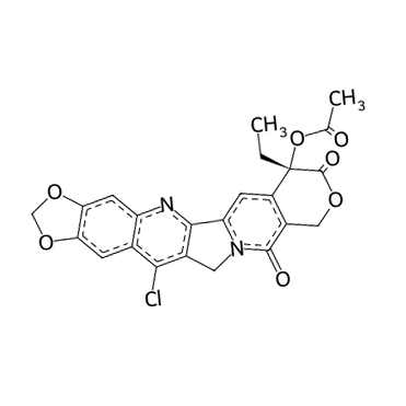 CC[C@@]1(OC(C)=O)C(=O)OCc2c1cc1n(c2=O)Cc2c-1nc1cc3c(cc1c2Cl)OCO3